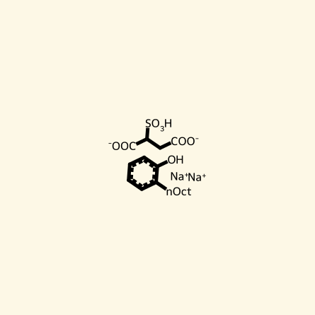 CCCCCCCCc1ccccc1O.O=C([O-])CC(C(=O)[O-])S(=O)(=O)O.[Na+].[Na+]